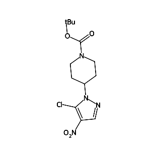 CC(C)(C)OC(=O)N1CCC(n2ncc([N+](=O)[O-])c2Cl)CC1